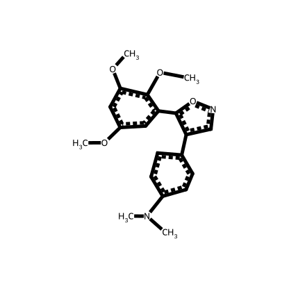 COc1cc(OC)c(OC)c(-c2oncc2-c2ccc(N(C)C)cc2)c1